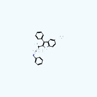 COc1ccc2[nH]c(C(=O)N/N=C\c3ccccc3)c(-c3ccccc3)c2c1